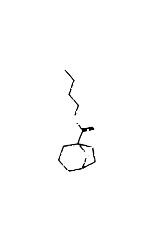 CCCCOC(=O)C12C[CH]CC(CC1)N2